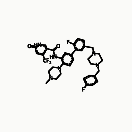 CN1CCN(c2ccc(-c3cc(CN4CCN(Cc5ccc(F)cc5)CC4)ccc3F)cc2NC(=O)c2c[nH]c(=O)cc2C(F)(F)F)CC1